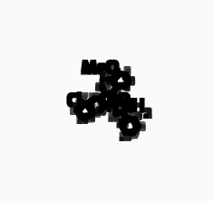 COc1cccc(-c2c(C)c(Cc3ccccc3Cl)c(C)n(CC(N)c3ccccc3)c2=O)c1F